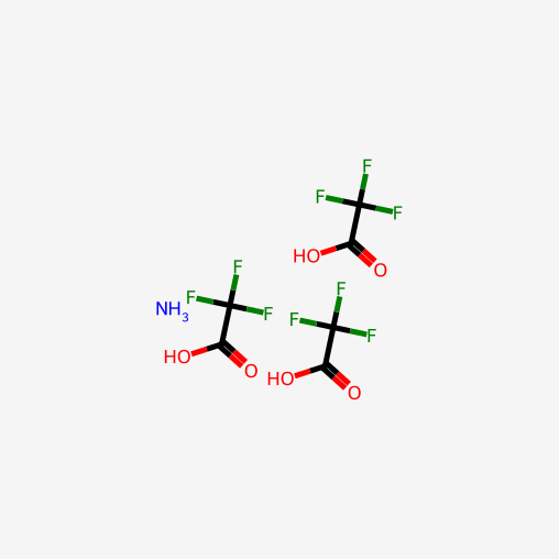 N.O=C(O)C(F)(F)F.O=C(O)C(F)(F)F.O=C(O)C(F)(F)F